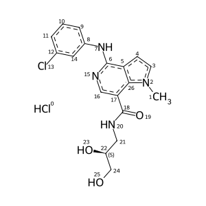 Cl.Cn1ccc2c(Nc3cccc(Cl)c3)ncc(C(=O)NC[C@H](O)CO)c21